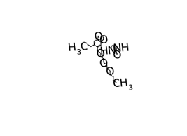 CCCCOCCOCCOCc1cc2c(cc1CCC)OCO2.O=C1NCCN1